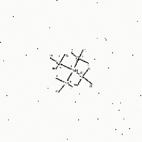 C[Si](C)(C)[Sn]([Si](C)(C)C)([Si](C)(C)C)[Si](C)(C)C